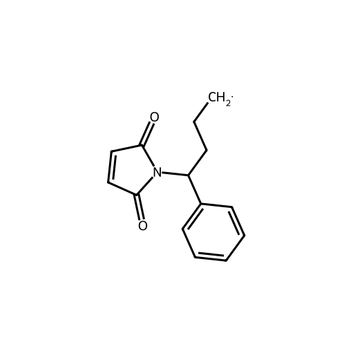 [CH2]CCC(c1ccccc1)N1C(=O)C=CC1=O